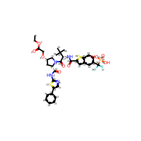 CCOC(=O)CO[C@H]1C[C@@H](C(=O)Nc2ncc(-c3ccccc3)s2)N(C(=O)[C@@H](NC(=O)c2cc3cc(C(F)(F)P(=O)(O)O)ccc3s2)C(C)(C)C)C1